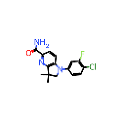 CC1(C)CN(c2ccc(Cl)c(F)c2)c2ccc(C(N)=O)nc21